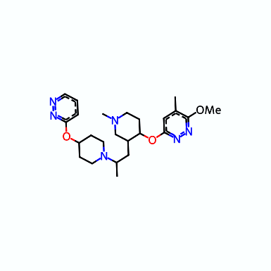 COc1nnc(OC2CCN(C)CC2CC(C)N2CCC(Oc3cccnn3)CC2)cc1C